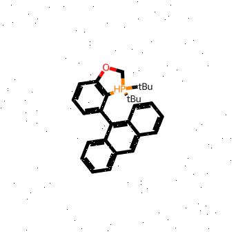 CC(C)(C)[PH]1(C(C)(C)C)COc2cccc(-c3c4ccccc4cc4ccccc34)c21